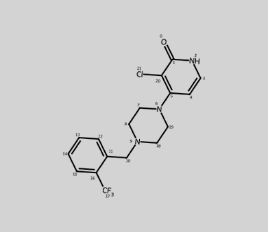 O=c1[nH]ccc(N2CCN(Cc3ccccc3C(F)(F)F)CC2)c1Cl